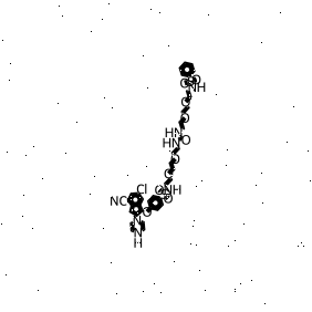 N#Cc1cc(Cl)cc2c1C[C@H](N1CCNCC1)[C@H]2Oc1ccc(S(=O)(=O)NCCOCCOCCNC(=O)NCCOCCOCCNS(=O)(=O)c2ccccc2)cc1